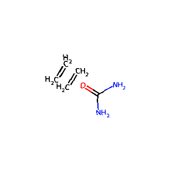 C=C.C=C.NC(N)=O